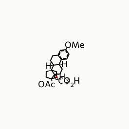 COc1ccc2c(c1)CC[C@@H]1[C@@H]2CC[C@@]2(C)[C@]13CC[C@@]2(OC(C)=O)[C@H](C(=O)O)C3